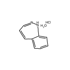 C1=Cc2ccccc2NN=C1.Cl.O